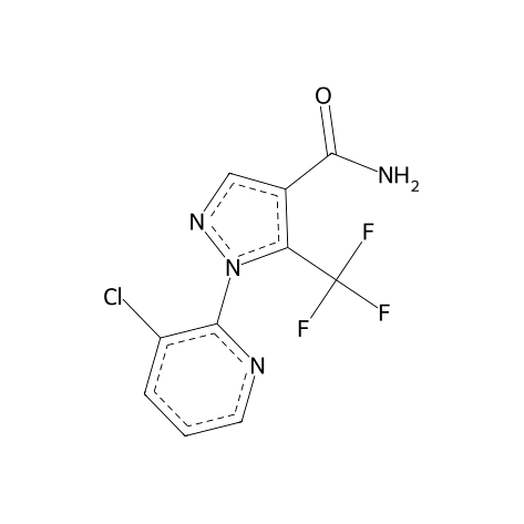 NC(=O)c1cnn(-c2ncccc2Cl)c1C(F)(F)F